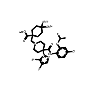 COC(=O)C1(CN2CCC(C(=O)Nc3ccc(Cl)cc3OC(F)F)(n3ncc(F)c3C(C)C)CC2)CCC(OC)(OC)CC1